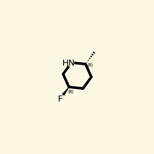 C[C@@H]1CC[C@@H](F)CN1